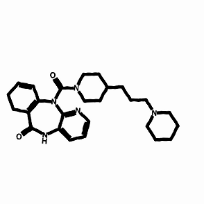 O=C1Nc2cccnc2N(C(=O)N2CCC(CCCN3CCCCC3)CC2)C2=C1CCC=C2